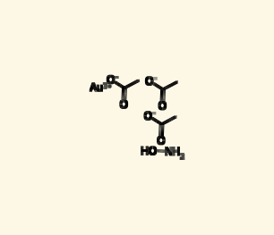 CC(=O)[O-].CC(=O)[O-].CC(=O)[O-].NO.[Au+3]